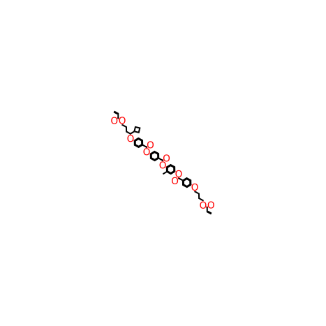 C=CC(=O)OCCCCOc1ccc(C(=O)Oc2ccc(OC(=O)c3ccc(OC(=O)c4ccc(OC(CCCOC(=O)C=C)C5CCC5)cc4)cc3)c(C)c2)cc1